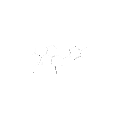 CCNN(C(C)=O)c1cccc2c1CN(C)CC2c1ccc(C)cc1